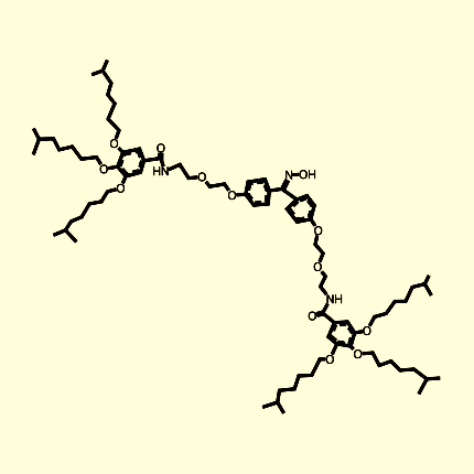 CC(C)CCCCCOc1cc(C(=O)NCCOCCOc2ccc(C(=NO)c3ccc(OCCOCCNC(=O)c4cc(OCCCCCC(C)C)c(OCCCCCC(C)C)c(OCCCCCC(C)C)c4)cc3)cc2)cc(OCCCCCC(C)C)c1OCCCCCC(C)C